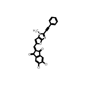 Cn1c(C#Cc2ccccc2)nc2oc(C=C3C(=O)c4cc(Cl)c(Cl)cc4C3=O)cc21